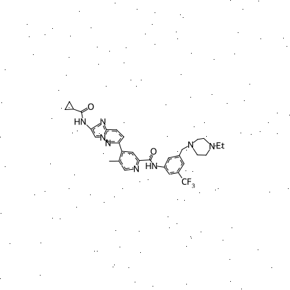 CCN1CCN(Cc2cc(NC(=O)c3cc(-c4ccc5nc(NC(=O)C6CC6)cn5n4)c(C)cn3)cc(C(F)(F)F)c2)CC1